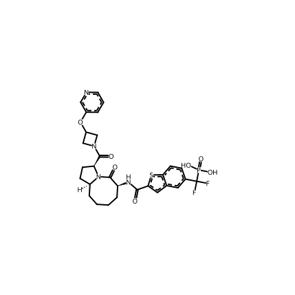 O=C(N[C@H]1CCCC[C@H]2CC[C@@H](C(=O)N3CC(Oc4cccnc4)C3)N2C1=O)c1cc2cc(C(F)(F)P(=O)(O)O)ccc2s1